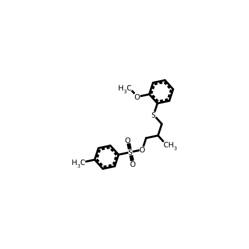 COc1ccccc1SCC(C)COS(=O)(=O)c1ccc(C)cc1